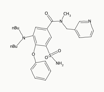 CCCCN(CCCC)c1cc(C(=O)N(C)Cc2cccnc2)cc(S(N)(=O)=O)c1Oc1ccccc1